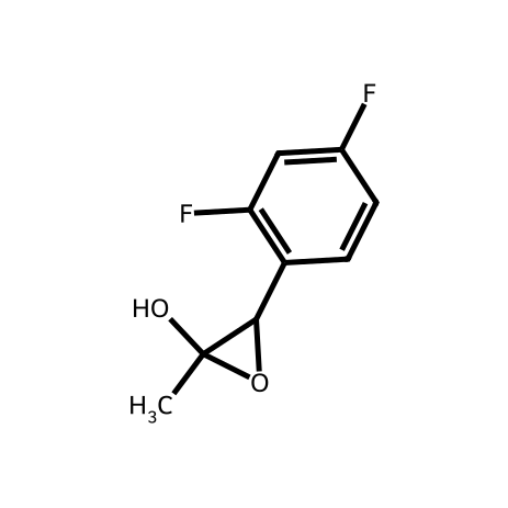 CC1(O)OC1c1ccc(F)cc1F